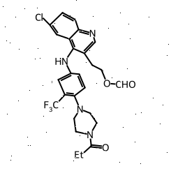 CCC(=O)N1CCN(c2ccc(Nc3c(CCOC=O)cnc4ccc(Cl)cc34)cc2C(F)(F)F)CC1